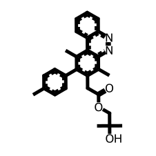 Cc1ccc(-c2c(CC(=O)OCC(C)(C)O)c(C)c3nnc4ccccc4c3c2C)cc1